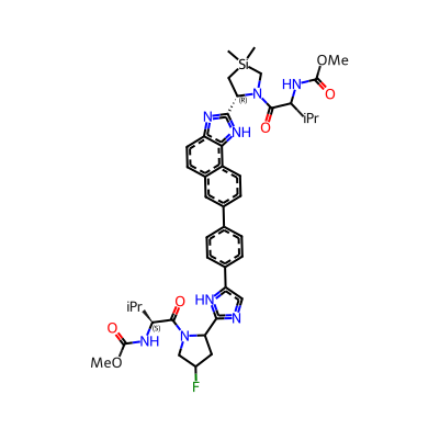 COC(=O)NC(C(=O)N1C[Si](C)(C)C[C@H]1c1nc2ccc3cc(-c4ccc(-c5cnc(C6CC(F)CN6C(=O)[C@@H](NC(=O)OC)C(C)C)[nH]5)cc4)ccc3c2[nH]1)C(C)C